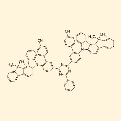 CC1(C)c2ccccc2-c2ccc3c(c21)c1ccccc1n3-c1ccc(-c2nc(-c3ccccc3)nc(-c3ccc(-n4c5ccccc5c5c6c(ccc54)-c4ccccc4C6(C)C)c(-c4ccc(C#N)cc4)c3)n2)cc1-c1ccc(C#N)cc1